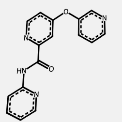 O=C(Nc1ccccn1)c1cc(Oc2cccnc2)ccn1